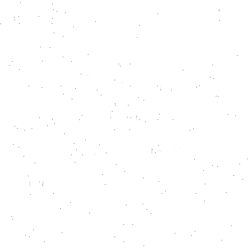 NC(=O)Cc1ccc(Nc2nc(C3CCCC3)nc3c2S(=O)(=O)CCC3)cc1